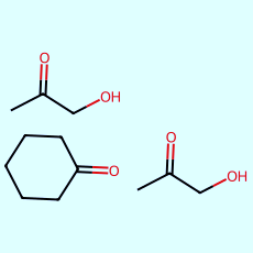 CC(=O)CO.CC(=O)CO.O=C1CCCCC1